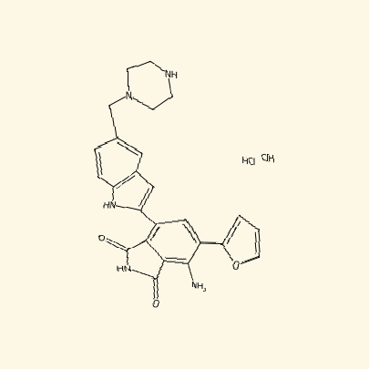 Cl.Cl.Nc1c(-c2ccco2)cc(-c2cc3cc(CN4CCNCC4)ccc3[nH]2)c2c1C(=O)NC2=O